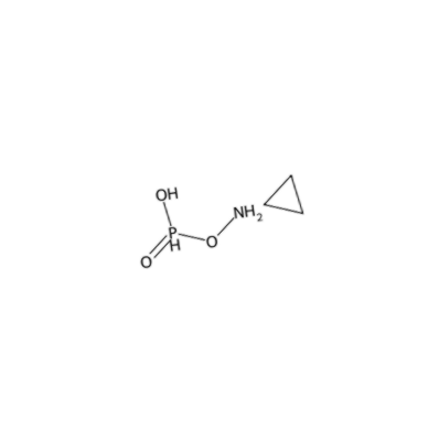 C1CC1.NO[PH](=O)O